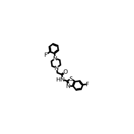 O=C(CN1CCN(c2ccccc2F)CC1)Nc1nc2ccc(F)cc2s1